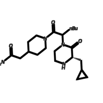 CCCCC(C(=O)N1CCC(CC(N)=O)CC1)N1CCN[C@@H](CC2CC2)C1=O